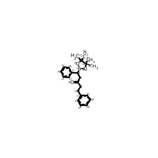 CC1(C)OB(C(CC(=O)CCc2ccccc2)c2ccccc2)OC1(C)C